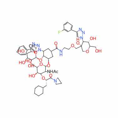 CC(=O)NC1C(O[C@@H](CC2CCCCC2)C(=O)N2CCC2)[C@@H](O)C(CO)O[C@H]1O[C@@H]1CC(C(=O)NCCOCC2(O)COC(CO)[C@@H](O)C2n2cc(-c3cccc(F)c3)nn2)CC(n2cc(-c3ccccc3)nn2)C1O[C@@H]1OC(C)[C@@H](O)C(O)C1O